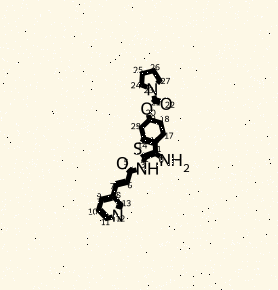 Nc1c(NC(=O)/C=C/c2cccnc2)sc2c1CCC(OC(=O)N1CCCC1)C2